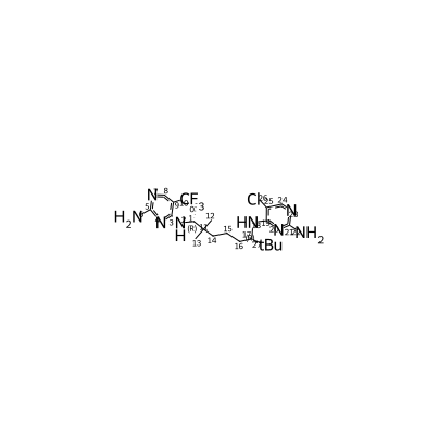 C[C@@H](Nc1nc(N)ncc1C(F)(F)F)C(C)(C)CCC[C@@H](Nc1nc(N)ncc1Cl)C(C)(C)C